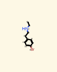 CCNCCc1ccc(Br)cc1